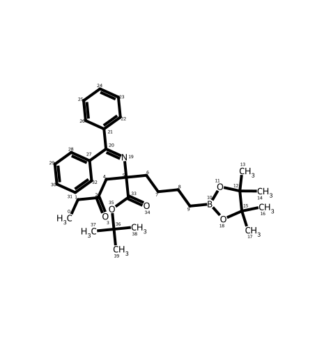 CCC(=O)CC(CCCCB1OC(C)(C)C(C)(C)O1)(N=C(c1ccccc1)c1ccccc1)C(=O)OC(C)(C)C